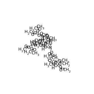 C=CC(=O)OCC(COC(=O)C(=C)C)OC(=O)NC(C)(C)c1cccc(C(C)(C)NC(=O)OCCN(CCOC(=O)NC(C)(C)c2cccc(C(C)(C)NC(=O)OC(COC(=O)C=C)COC(=O)C(=C)C)c2)CCOC(=O)NC(C)(C)c2cccc(C(C)(C)NC(=O)OC(COC(=O)C=C)COC(=O)C(=C)C)c2)c1